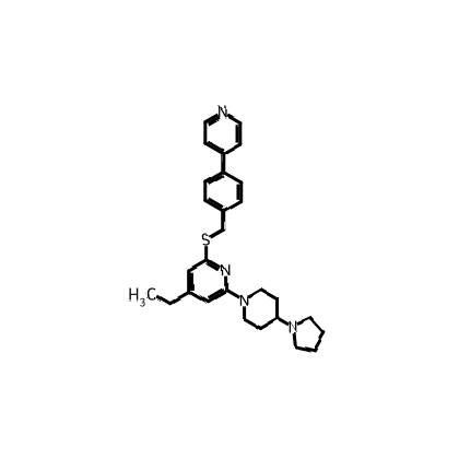 CCc1cc(SCc2ccc(-c3ccncc3)cc2)nc(N2CCC(N3CCCC3)CC2)c1